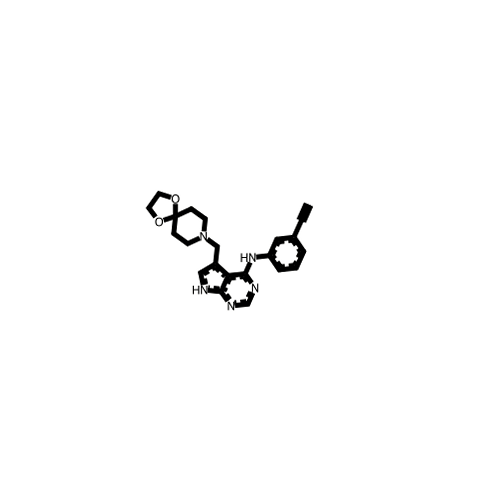 C#Cc1cccc(Nc2ncnc3[nH]cc(CN4CCC5(CC4)OCCO5)c23)c1